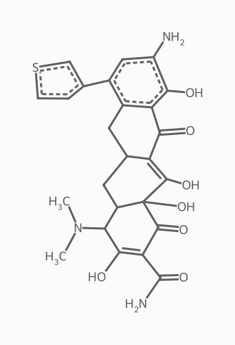 CN(C)C1C(O)=C(C(N)=O)C(=O)C2(O)C(O)=C3C(=O)c4c(O)c(N)cc(-c5ccsc5)c4CC3CC12